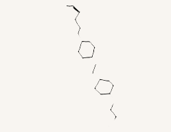 C/C=C\CCC[C@H]1CC[C@H](CC[C@H]2CC[C@H](OCCC)CC2)CC1